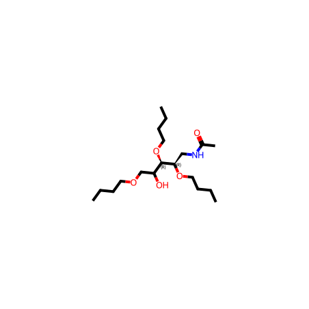 CCCCOCC(O)[C@@H](OCCCC)[C@@H](CNC(C)=O)OCCCC